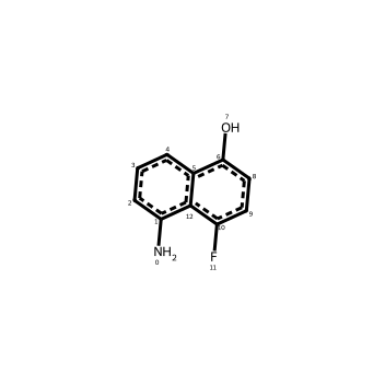 Nc1cccc2c(O)ccc(F)c12